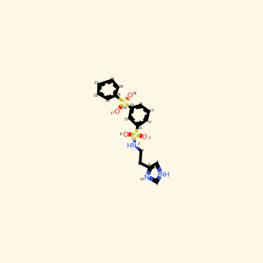 O=S(=O)(NCCc1c[nH]cn1)c1cccc(S(=O)(=O)c2ccccc2)c1